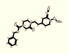 CC(C)(C)ON1CCC(CCN2CCN(C(=O)OCc3ccccc3)CC2=O)CC1=C=O